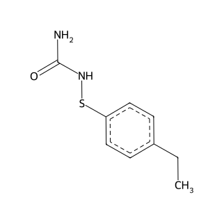 CCc1ccc(SNC(N)=O)cc1